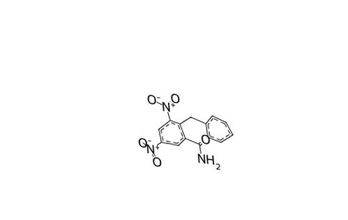 NC(=O)c1cc([N+](=O)[O-])cc([N+](=O)[O-])c1Cc1ccccc1